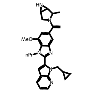 C=C(c1cc(OC)c2c(c1)nc(-c1cc3cccnc3n1CC1CC1)n2CCC)N1CC2NC2C1C